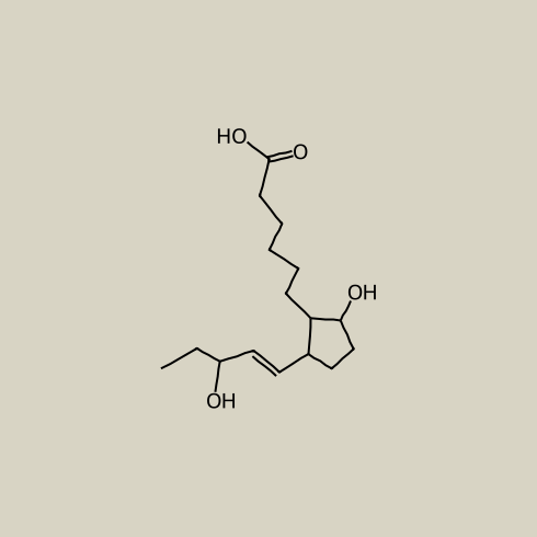 CCC(O)C=CC1CCC(O)C1CCCCCC(=O)O